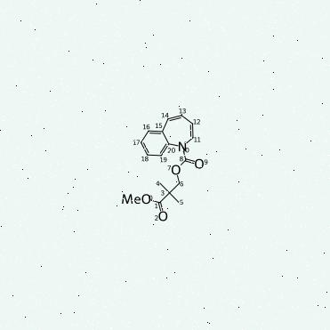 COC(=O)C(C)(C)COC(=O)N1C=CC=Cc2ccccc21